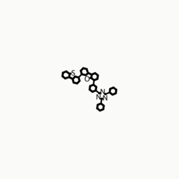 c1ccc(-c2nc(-c3ccccc3)nc(-c3cccc(-c4cccc5c4oc4c(-c6cccc7c6sc6ccccc67)cccc45)c3)n2)cc1